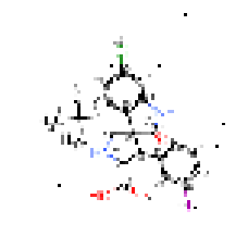 CC(C)(C)C[C@H]1N[C@@H](C(=O)O)[C@H](c2cccc(I)c2)[C@@]12C(=O)Nc1cc(Cl)ccc12